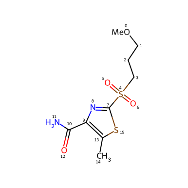 COCCCS(=O)(=O)c1nc(C(N)=O)c(C)s1